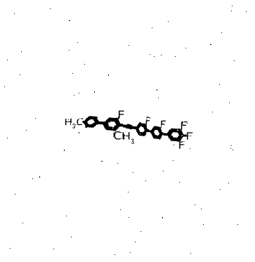 Cc1ccc(-c2cc(C)c(C#Cc3ccc(-c4ccc(-c5cc(F)c(F)c(F)c5)c(F)c4)c(F)c3)c(F)c2)cc1